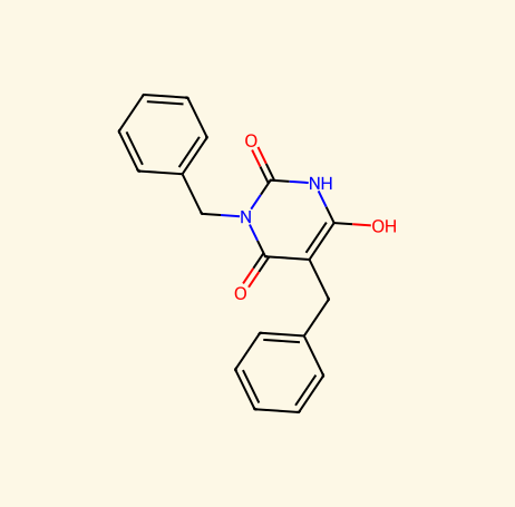 O=c1[nH]c(O)c(Cc2ccccc2)c(=O)n1Cc1ccccc1